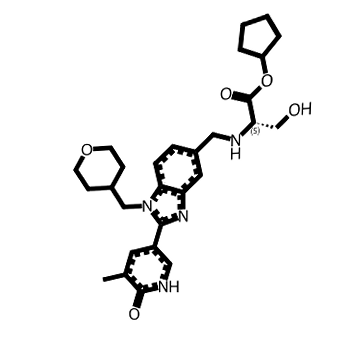 Cc1cc(-c2nc3cc(CN[C@@H](CO)C(=O)OC4CCCC4)ccc3n2CC2CCOCC2)c[nH]c1=O